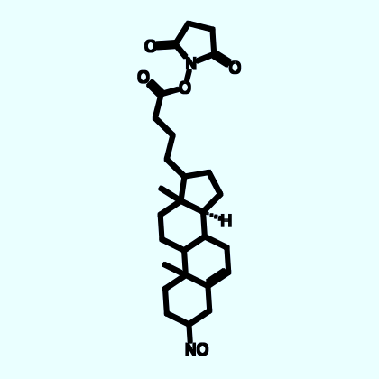 CC12CCC(N=O)CC1=CCC1C2CCC2(C)C(CCCC(=O)ON3C(=O)CCC3=O)CC[C@@H]12